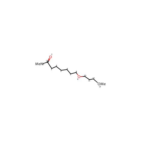 CNC(=O)CCCCCCOCCCOC